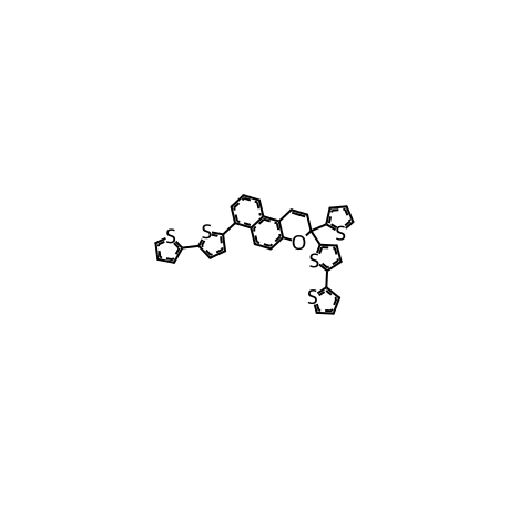 C1=CC(c2cccs2)(c2ccc(-c3cccs3)s2)Oc2ccc3c(-c4ccc(-c5cccs5)s4)cccc3c21